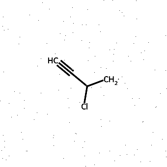 C#CC([CH2])Cl